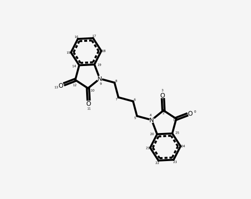 O=C1C(=O)N(CCCCN2C(=O)C(=O)c3ccccc32)c2ccccc21